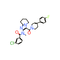 CN(C(=O)c1cccc(Cl)c1)c1nc2n(c1C(=O)N1CC=C(c3ccc(F)cc3)CC1)CCCC2